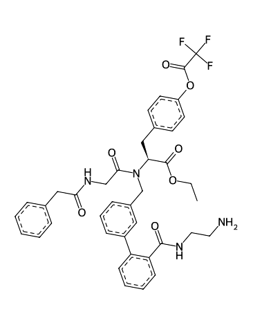 CCOC(=O)[C@H](Cc1ccc(OC(=O)C(F)(F)F)cc1)N(Cc1cccc(-c2ccccc2C(=O)NCCN)c1)C(=O)CNC(=O)Cc1ccccc1